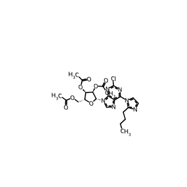 CCCCc1nccn1-c1nc(Cl)nc2c1ncn2[C@@H]1O[C@H](COC(C)=O)[C@@H](OC(C)=O)[C@H]1OC(C)=O